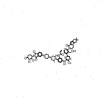 C=CC(=O)Nc1cc(Nc2nc(-c3ccnc(N4CCn5c(cc6c5CC(C)(C)C6)C4=O)c3CO)cnc2OC)ccc1N1CCN(C2CCN(c3ccc4c(c3)C(=O)N(C3CCC(=O)NC3=O)C4=O)CC2)C[C@@H]1C